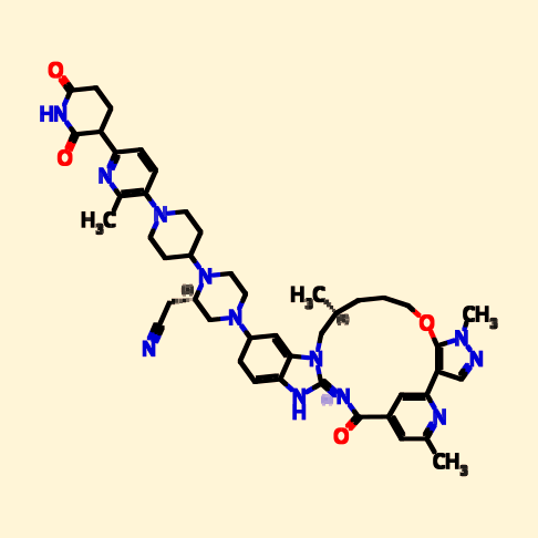 Cc1cc2cc(n1)-c1cnn(C)c1OCCC[C@@H](C)CN1C3=CC(N4CCN(C5CCN(c6ccc(C7CCC(=O)NC7=O)nc6C)CC5)[C@@H](CC#N)C4)CC=C3N/C1=N\C2=O